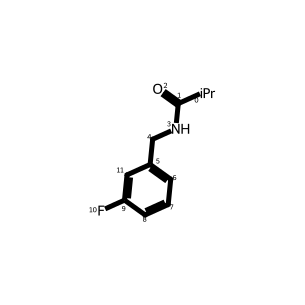 CC(C)C(=O)NCc1cccc(F)c1